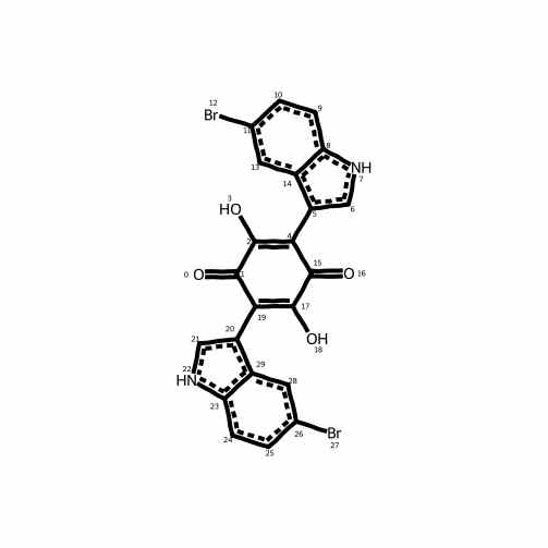 O=C1C(O)=C(c2c[nH]c3ccc(Br)cc23)C(=O)C(O)=C1c1c[nH]c2ccc(Br)cc12